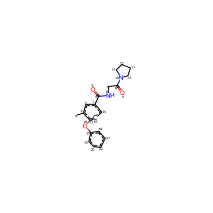 Cc1cc(C(=O)NCC(=O)N2CCCC2)ccc1Oc1ccccc1